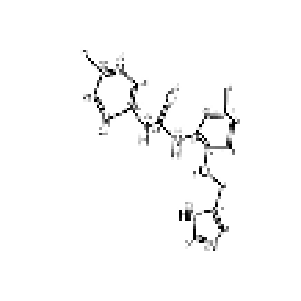 Cc1ccc(OCc2cnc[nH]2)c(NC(=O)Nc2cnc(C)cn2)c1